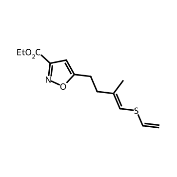 C=CS/C=C(\C)CCc1cc(C(=O)OCC)no1